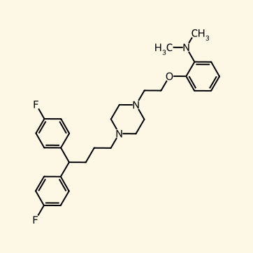 CN(C)c1ccccc1OCCN1CCN(CCCC(c2ccc(F)cc2)c2ccc(F)cc2)CC1